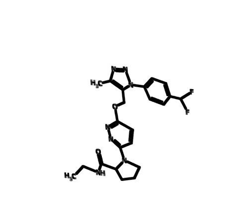 CCNC(=O)C1CCCN1c1ccc(OCc2c(C)nnn2-c2ccc(C(F)F)cc2)nn1